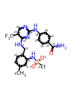 CCS(=O)(=O)Nc1cc(C)ccc1CNc1nc(Nc2ccc(C(N)=O)cc2)ncc1C(F)(F)F